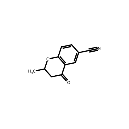 CC1CC(=O)c2cc(C#N)ccc2O1